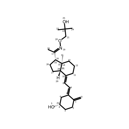 C=C1CC[C@H](O)CC1=CC=C1CCC[C@]2(C)[C@@H](C(C)=NOCC(C)(C)O)CC[C@@H]12